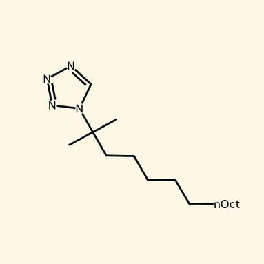 CCCCCCCCCCCCCC(C)(C)n1cnnn1